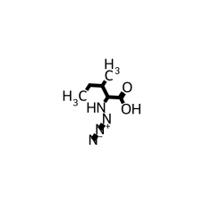 CCC(C)C(NN=[N+]=[N-])C(=O)O